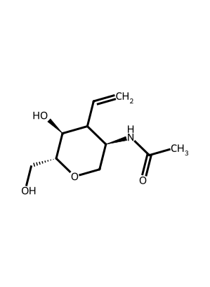 C=CC1[C@@H](NC(C)=O)CO[C@H](CO)[C@H]1O